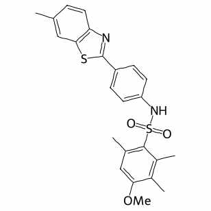 COc1cc(C)c(S(=O)(=O)Nc2ccc(-c3nc4ccc(C)cc4s3)cc2)c(C)c1C